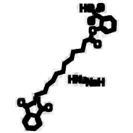 O=C(CCCCCCCCCCCN1C(=O)c2ccccc2C1=O)Oc1ccccc1S(=O)(=O)O.[NaH].[NaH]